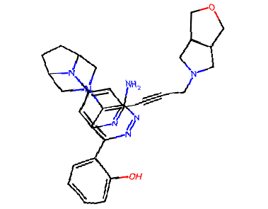 Nc1nnc(-c2ccccc2O)cc1N1CC2CCC(C1)N2c1ccnc(C#CCN2CC3COCC3C2)c1